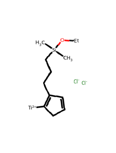 CCO[Si](C)(C)CCCC1=[C]([Ti+2])CC=C1.[Cl-].[Cl-]